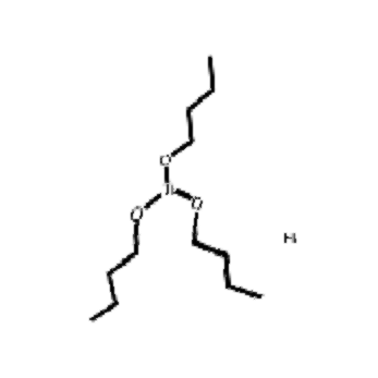 CCCC[O][Ti]([O]CCCC)[O]CCCC.I